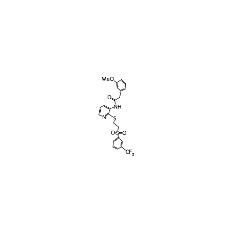 COc1cccc(CC(=O)Nc2cccnc2SCCS(=O)(=O)c2cccc(C(F)(F)F)c2)c1